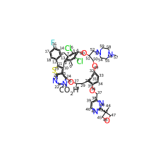 Cc1c(Cl)c2c(Cl)c(C)c1-c1c(-c3ccc(F)cc3)sc3ncnc(c13)OC(C(=O)O)Cc1cc(ccc1OCc1ccnc(C3(C)COC3)n1)OCC(CN1CCN(C)CC1)O2